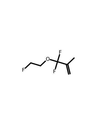 C=C(C)C(F)(F)OCCF